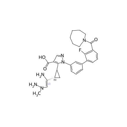 CN(N)/C=C(\N)[C@H]1CC1c1c(C(=O)O)cnn1-c1cccc(-c2cccc(C(=O)N3CCCCCC3)c2F)c1